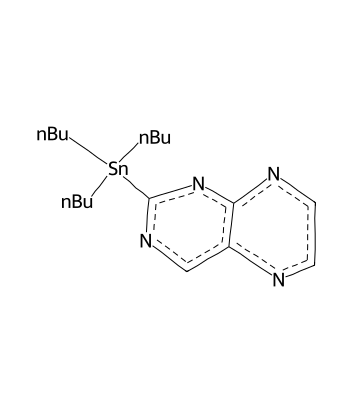 CCC[CH2][Sn]([CH2]CCC)([CH2]CCC)[c]1ncc2nccnc2n1